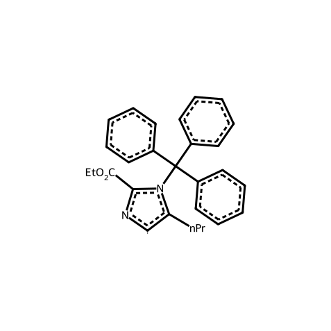 CCCc1[c]nc(C(=O)OCC)n1C(c1ccccc1)(c1ccccc1)c1ccccc1